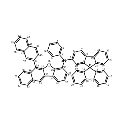 c1ccc(N(c2ccc3c(c2)C2(c4ccccc4-c4ccccc42)c2ccccc2-3)c2cccc3c2oc2c(-c4ccc5ccccc5c4)c4ccccc4cc23)cc1